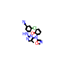 Cc1cnc(Nc2cc(Cl)cc(C#N)c2)nc1N(C1=CC=CCC1=O)c1cnco1